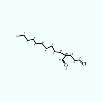 CCCCCCCCCCC(C=O)CCCCl